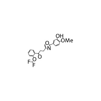 COc1ccc(-c2nc(CCC(=O)c3ccccc3OC(F)F)co2)cc1O